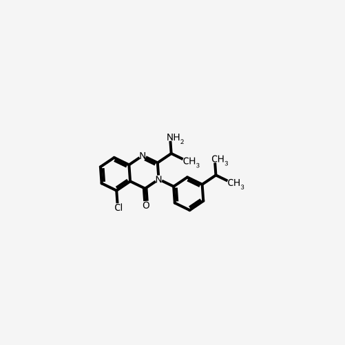 CC(C)c1cccc(-n2c(C(C)N)nc3cccc(Cl)c3c2=O)c1